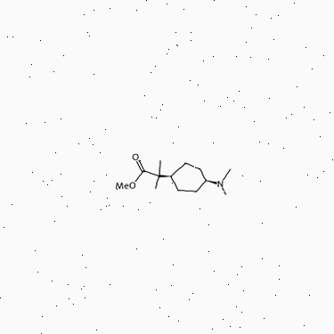 COC(=O)C(C)(C)[C@H]1CC[C@@H](N(C)C)CC1